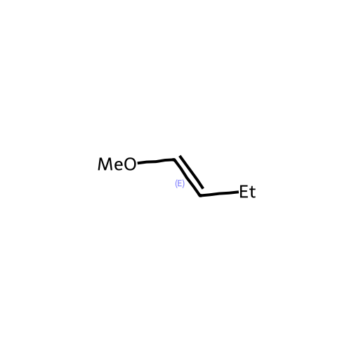 CC/C=C/OC